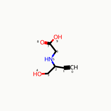 C#CC(CO)NCC(=O)O